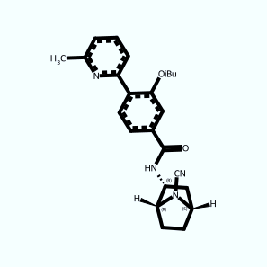 Cc1cccc(-c2ccc(C(=O)N[C@@H]3C[C@@H]4CC[C@H]3N4C#N)cc2OCC(C)C)n1